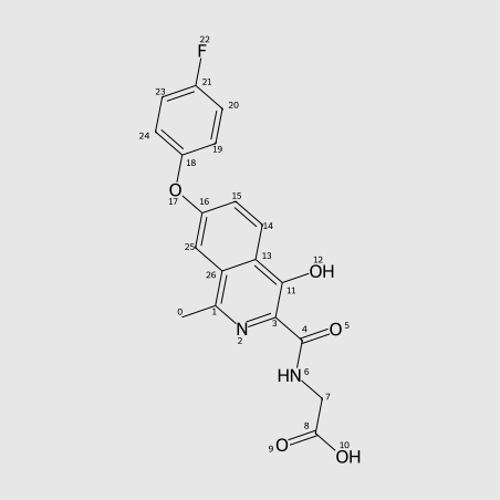 Cc1nc(C(=O)NCC(=O)O)c(O)c2ccc(Oc3ccc(F)cc3)cc12